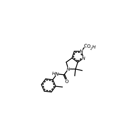 Cc1ccccc1NC(=O)N1Cc2cn(C(=O)O)nc2C1(C)C